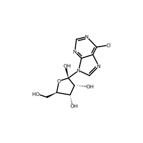 OC[C@H]1O[C@](O)(n2cnc3c(Cl)ncnc32)[C@H](O)[C@@H]1O